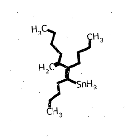 C=C(CCCC)/C(CCCC)=[C](/[SnH3])CCCC